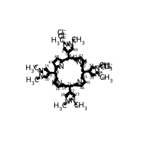 Cn1cc(-c2c3nc(c(-c4cn(C)[n+](C)c4)c4ccc([nH]4)c(-c4cn(C)[n+](C)c4)c4nc(c(-c5cn(C)[n+](C)c5)c5ccc2[nH]5)C=C4)C=C3)c[n+]1C.[Cl-].[Cl-].[Cl-].[Cl-]